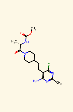 COC(=O)N[C@@H](C)C(=O)N1CCC(CCc2c(N)nc(C)nc2Cl)CC1